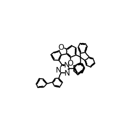 c1ccc(-c2cccc(-c3nc(-c4ccccc4)nc(-c4cccc5oc6ccc7c(c6c45)Oc4ccccc4C74c5ccccc5-c5ccccc54)n3)c2)cc1